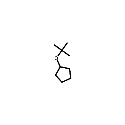 CC(C)(C)OC1CCCC1